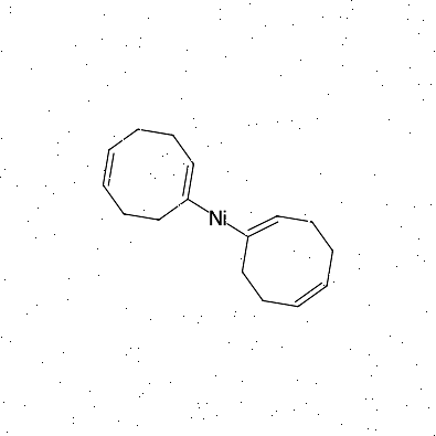 C1=C\CC/[C]([Ni]/[C]2=C/CC/C=C\CC2)=C\CC/1